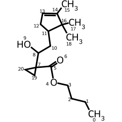 CCCCOC(=O)C1(C(O)CC2CC=C(C)C2(C)C)CC1